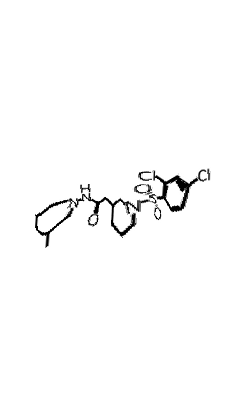 CC1CCCN(NC(=O)CC2CCCN(S(=O)(=O)c3ccc(Cl)cc3Cl)C2)C1